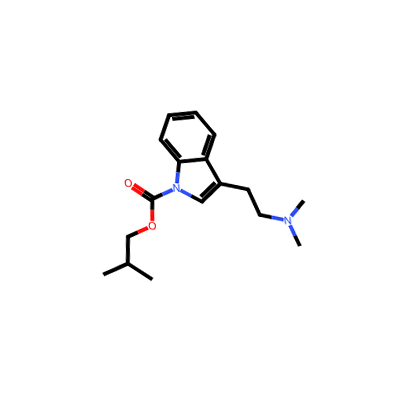 CC(C)COC(=O)n1cc(CCN(C)C)c2ccccc21